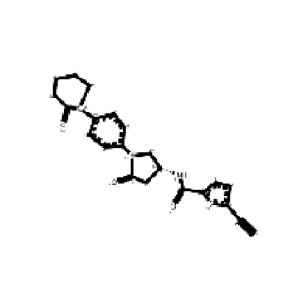 C#Cc1ccc(C(=O)N[C@@H]2CC(=O)N(c3ccc(N4CCCCC4=O)cc3)C2)s1